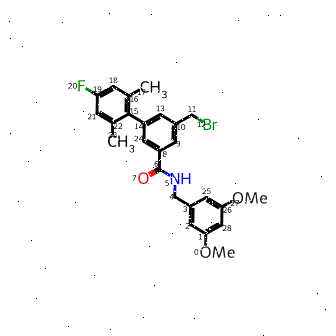 COc1cc(CNC(=O)c2cc(CBr)cc(-c3c(C)cc(F)cc3C)c2)cc(OC)c1